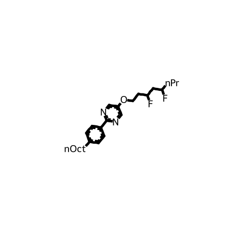 CCCCCCCCc1ccc(-c2ncc(OCCC(F)CC(F)CCC)cn2)cc1